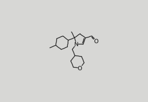 CC1CCC(C2(C)CC(C=O)=CN2CC2CCOCC2)CC1